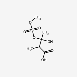 COS(=O)(=O)OC(C)(O)C(C)C(=O)O